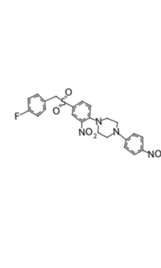 O=[N+]([O-])c1ccc(N2CCN(c3ccc(S(=O)(=O)Cc4ccc(F)cc4)cc3[N+](=O)[O-])CC2)cc1